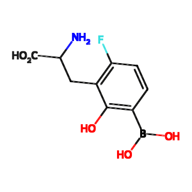 NC(Cc1c(F)ccc(B(O)O)c1O)C(=O)O